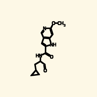 COc1cc2[nH]c(C(=O)NC(C=O)CC3CC3)cc2cn1